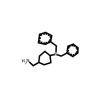 NCC1CCC(N(Cc2ccccc2)Cc2ccccc2)CC1